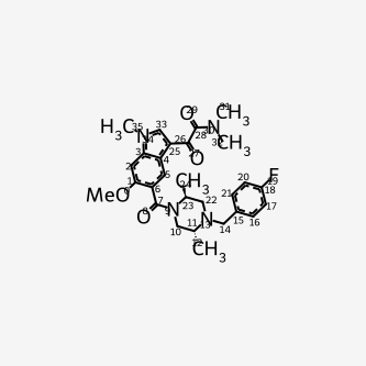 COc1cc2c(cc1C(=O)N1C[C@@H](C)N(Cc3ccc(F)cc3)C[C@@H]1C)c(C(=O)C(=O)N(C)C)cn2C